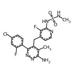 CNS(=O)(=O)Nc1nccc(Cc2c(-c3ccc(Cl)cc3F)nnc(N)c2C)c1F